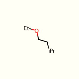 CCO[CH]CC(C)C